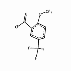 COc1ccc(C(F)(F)F)cc1C(=S)Cl